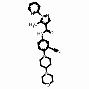 Cc1c(C(=O)Nc2ccc(N3CCC(N4CCOCC4)CC3)c(C#N)c2)cnn1-c1ccccn1